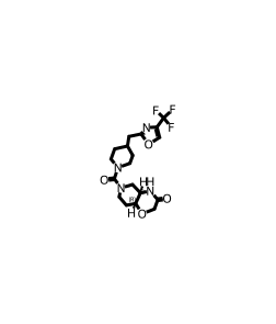 O=C1CO[C@@H]2CCN(C(=O)N3CCC(Cc4nc(C(F)(F)F)co4)CC3)C[C@@H]2N1